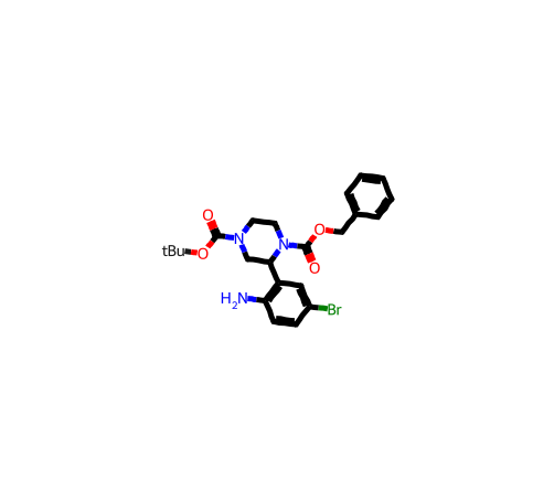 CC(C)(C)OC(=O)N1CCN(C(=O)OCc2ccccc2)C(c2cc(Br)ccc2N)C1